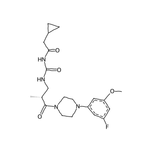 COc1cc(F)cc(N2CCN(C(=O)[C@H](C)CNC(=O)NC(=O)CC3CC3)CC2)c1